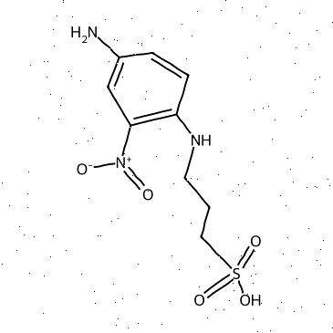 Nc1ccc(NCCCS(=O)(=O)O)c([N+](=O)[O-])c1